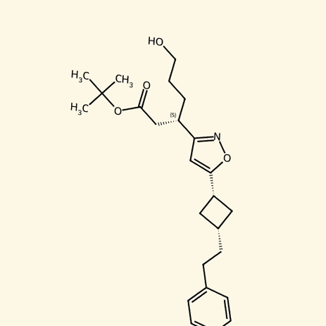 CC(C)(C)OC(=O)C[C@H](CCCO)c1cc([C@H]2C[C@@H](CCc3ccccc3)C2)on1